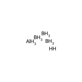 B.B.B.[AlH3].[HH]